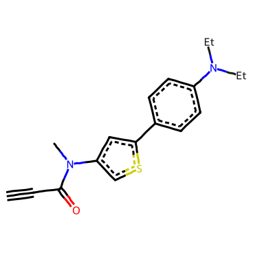 C#CC(=O)N(C)c1csc(-c2ccc(N(CC)CC)cc2)c1